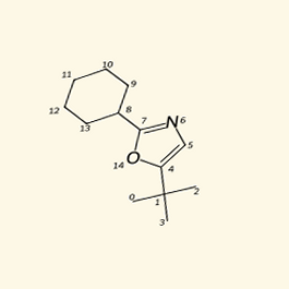 CC(C)(C)c1cnc(C2CCCCC2)o1